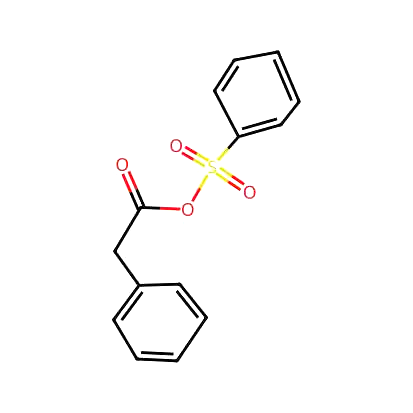 O=C(Cc1ccccc1)OS(=O)(=O)c1ccccc1